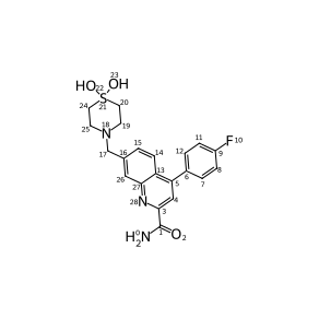 NC(=O)c1cc(-c2ccc(F)cc2)c2ccc(CN3CCS(O)(O)CC3)cc2n1